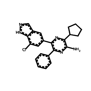 Nc1nc(-c2ccccc2)c(-c2cc(Cl)c3[nH]ncc3c2)nc1C1CCCC1